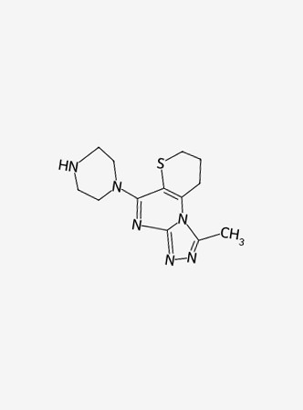 Cc1nnc2nc(N3CCNCC3)c3c(n12)CCCS3